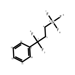 FC(F)(CC[Si](F)(F)F)c1ccccc1